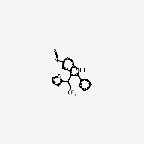 FC(F)(F)CC(c1cccs1)c1c(-c2ccccc2)[nH]c2ccc(N=C=S)cc12